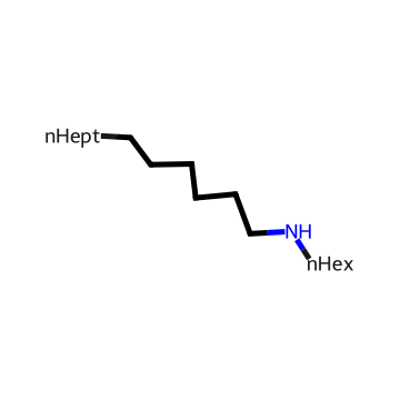 [CH2]CCCCCCCCCCCCNCCCCCC